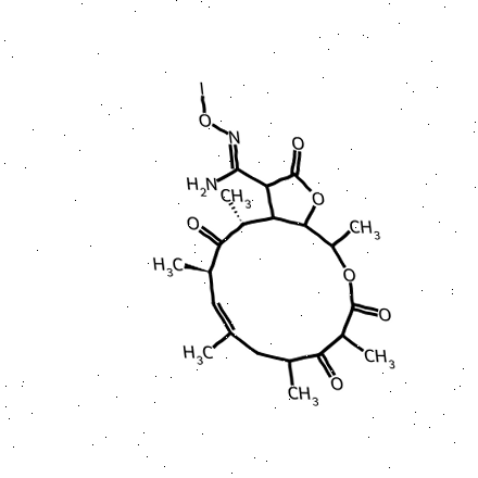 C/C1=C/[C@@H](C)C(=O)[C@H](C)C2C(/C(N)=N/OI)C(=O)OC2C(C)OC(=O)C(C)C(=O)C(C)C1